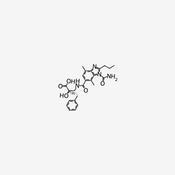 CCCc1nc2c(C)cc(C(=O)N[C@H](Cc3ccccc3)[C@@H](O)C(=O)O)c(C)c2n1C(N)=O